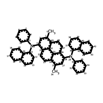 Cc1cc(N(c2ccccc2)c2cccc3ccccc23)c2ccc3c(C)cc(N(c4ccccc4)c4cccc5ccccc45)c4ccc1c2c34